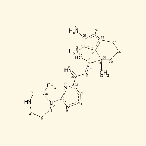 C[C@H]1CNCCCN1c1nccc(C(=N)/C=C(\O)[C@@]2(C)CCCc3sc(N)c(N)c32)n1